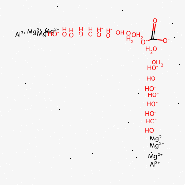 O.O.O.O.O=C([O-])[O-].[Al+3].[Al+3].[Mg+2].[Mg+2].[Mg+2].[Mg+2].[Mg+2].[Mg+2].[OH-].[OH-].[OH-].[OH-].[OH-].[OH-].[OH-].[OH-].[OH-].[OH-].[OH-].[OH-].[OH-].[OH-].[OH-].[OH-]